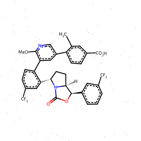 COc1ncc(-c2ccc(C(=O)O)cc2C)cc1-c1ccc(C(F)(F)F)cc1[C@@H]1CC[C@H]2[C@@H](c3cccc(C(F)(F)F)c3)OC(=O)N12